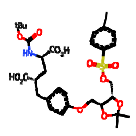 Cc1ccc(S(=O)(=O)OC[C@@H]2OC(C)(C)O[C@H]2COc2ccc(C[C@@H](C[C@@H](NC(=O)OC(C)(C)C)C(=O)O)C(=O)O)cc2)cc1